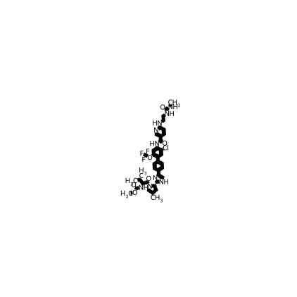 CNC(=O)NCCNc1ccc(C(=O)Nc2cc(OC(F)(F)F)c(-c3ccc(-c4c[nH]c([C@@H]5C[C@H](C)CN5C(=O)[C@@H](NC(=O)OC)C(C)C)n4)cc3)cc2Cl)cn1